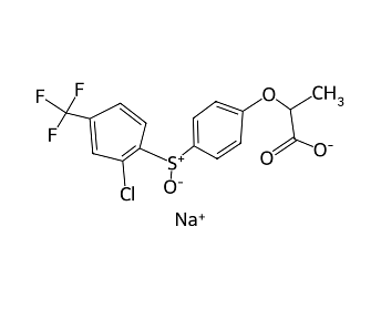 CC(Oc1ccc([S+]([O-])c2ccc(C(F)(F)F)cc2Cl)cc1)C(=O)[O-].[Na+]